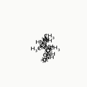 Cc1cc(Nc2cc(C)nc(Nc3ccc(NC(=O)NC4CCCC4)cc3C)n2)[nH]n1